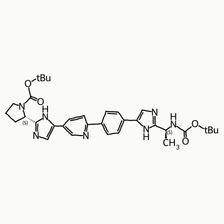 C[C@H](NC(=O)OC(C)(C)C)c1ncc(-c2ccc(-c3ccc(-c4cnc([C@@H]5CCCN5C(=O)OC(C)(C)C)[nH]4)cn3)cc2)[nH]1